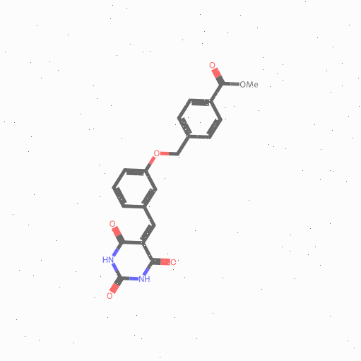 COC(=O)c1ccc(COc2cccc(C=C3C(=O)NC(=O)NC3=O)c2)cc1